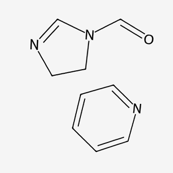 O=CN1C=NCC1.c1ccncc1